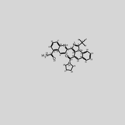 CC(C)(C)c1nc(-c2ccc3c(C(N)=O)cccc3n2)c2c(C(=O)N3CCCC3)cc3ccccc3n12